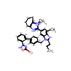 CCCc1nc2c(C)cc(-c3nc4c(n3C)CCCC4)cc2n1Cc1ccc(-c2ccccc2-c2nc(=O)o[nH]2)cc1